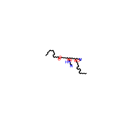 CCCCC/C=C\C/C=C\C/C=C\C/C=C\CCCC(=O)OCCCCCCC(CCCCCC(CCCN(C)C)OC(=O)CCC/C=C\C/C=C\C/C=C\C/C=C\CCCCC)OC(=O)NCCCN(C)C